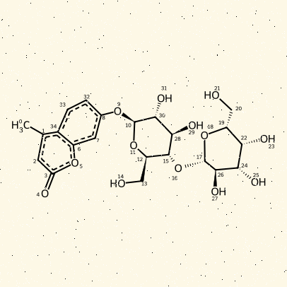 Cc1cc(=O)oc2cc(O[C@@H]3O[C@H](CO)[C@@H](O[C@@H]4O[C@H](CO)[C@H](O)[C@H](O)[C@H]4O)[C@H](O)[C@H]3O)ccc12